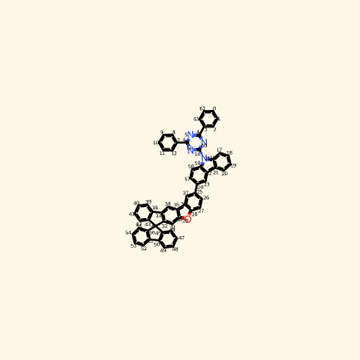 c1ccc(-c2nc(-c3ccccc3)nc(-n3c4ccccc4c4cc(-c5ccc6oc7cc8c(cc7c6c5)-c5ccccc5C85c6ccccc6-c6ccccc65)ccc43)n2)cc1